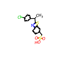 CC(c1c[c]c(Cl)cc1)c1nc2ccc(CS(=O)(=O)O)cc2s1